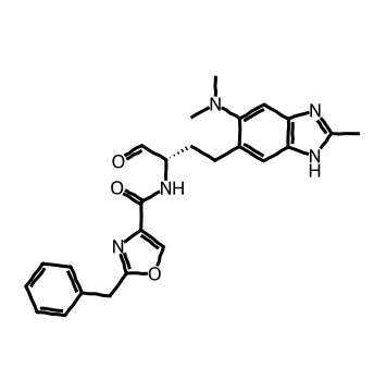 Cc1nc2cc(N(C)C)c(CC[C@@H](C=O)NC(=O)c3coc(Cc4ccccc4)n3)cc2[nH]1